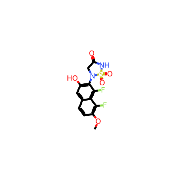 COc1ccc2cc(O)c(N3CC(=O)NS3(=O)=O)c(F)c2c1F